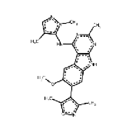 COc1cc2c(cc1-c1c(C)noc1C)[nH]c1nc(C)nc(Nc3c(C)cnn3C)c12